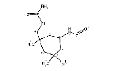 BC(=O)NCC1(C)CC(NC=O)CC(C)(C)C1